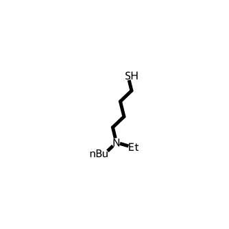 CCCCN(CC)CCCCS